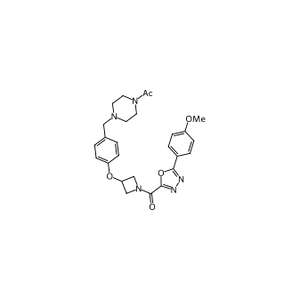 COc1ccc(-c2nnc(C(=O)N3CC(Oc4ccc(CN5CCN(C(C)=O)CC5)cc4)C3)o2)cc1